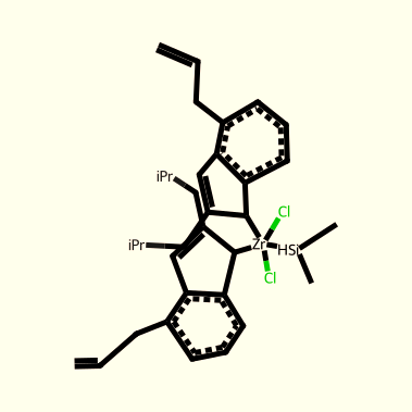 C=CCc1cccc2c1C=C(CC(C)C)[CH]2[Zr]([Cl])([Cl])([CH]1C(CC(C)C)=Cc2c(CC=C)cccc21)[SiH](C)C